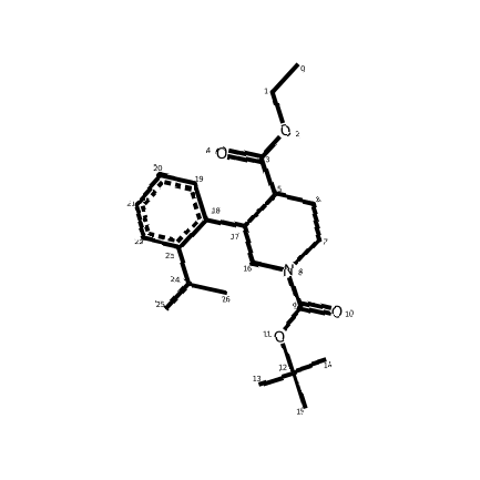 CCOC(=O)C1CCN(C(=O)OC(C)(C)C)CC1c1ccccc1C(C)C